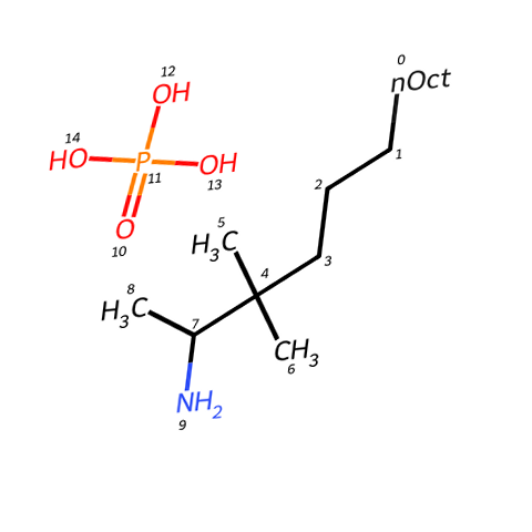 CCCCCCCCCCCC(C)(C)C(C)N.O=P(O)(O)O